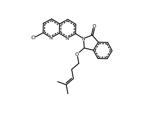 CC(C)=CCCOC1c2ccccc2C(=O)N1c1ccc2ccc(Cl)nc2n1